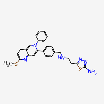 CSC1=CCC2=CN(c3ccccc3)C(c3ccc(CNCCc4nnc(N)s4)cc3)=CC2=N1